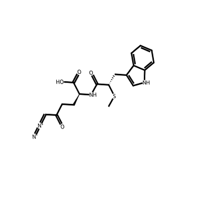 CS[C@@H](Cc1c[nH]c2ccccc12)C(=O)N[C@@H](CCC(=O)C=[N+]=[N-])C(=O)O